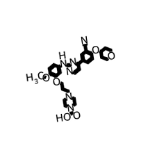 COc1ccc(Nc2nccc(-c3ccc(OC4CCOCC4)c(C#N)c3)n2)cc1OCCCN1CCN(C(=O)O)CC1